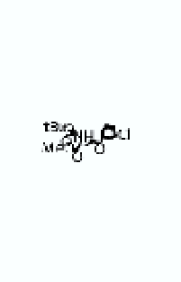 COC(=O)[C@@H](CCC(=O)c1cccc(Cl)c1)NC(=O)OC(C)(C)C